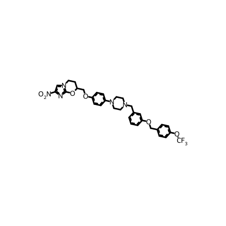 O=[N+]([O-])c1cn2c(n1)OC(COc1ccc(N3CCN(Cc4cccc(OCc5ccc(OC(F)(F)F)cc5)c4)CC3)cc1)CC2